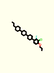 CCCOc1ccc(C2=CCC(C3CCC(C4CCC(CCC)CC4)CC3)CC2)c(F)c1Cl